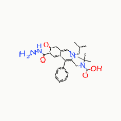 CC(C)CN1C=C2CC(=O)C(C(=O)NN)C=C2C(c2ccccc2)=C1CN(C(=O)O)C(C)(C)C